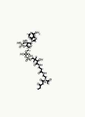 CCC(=O)CC(=O)[SH](CCNC(=O)CCNC(=O)C(O)C(C)(C)COP(=O)(O)OP(=O)(O)OC[C@H]1O[C@@H](n2cnc3c(N)ncnc32)[C@H](O)[C@@H]1OP(=O)(O)O)C(C)=O